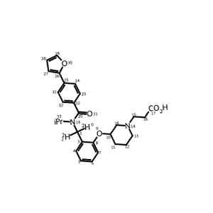 [2H]C([2H])(c1ccccc1OC1CCCN(CCC(=O)O)C1)N(C(=O)c1ccc(-c2ccco2)cc1)C(C)C